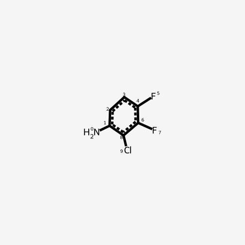 Nc1ccc(F)c(F)c1Cl